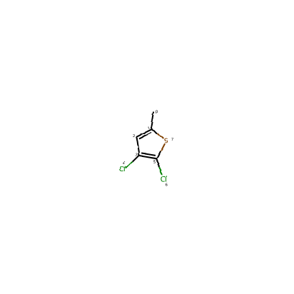 Cc1cc(Cl)c(Cl)s1